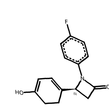 O=C1C[C@@H](C2=CC=C(O)CC2)N1c1ccc(F)cc1